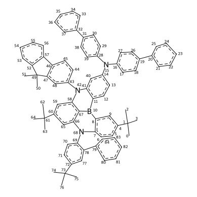 CC(C)(C)c1ccc2c(c1)B1c3ccc(N(c4ccc(-c5ccccc5)cc4)c4ccc(-c5ccccc5)cc4)cc3N(c3ccc4c(c3)C(C)(C)c3ccccc3-4)c3cc(C(C)(C)C)cc(c31)N2c1ccc(C(C)(C)C)cc1-c1ccccc1